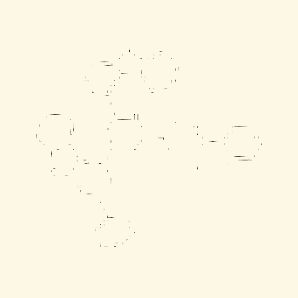 c1ccc(-c2cc(C3N=C(c4ccc5c(ccc6ccccc65)c4)N=C(c4cccc5oc6ccccc6c45)N3)c3c(c2)oc2ccccc23)cc1